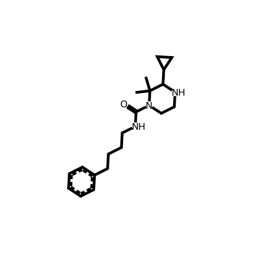 CC1(C)C(C2CC2)NCCN1C(=O)NCCCCc1ccccc1